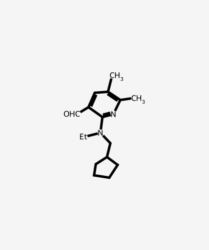 CCN(CC1CCCC1)c1nc(C)c(C)cc1C=O